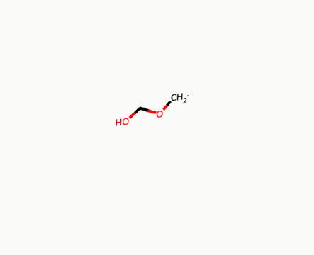 [CH2]OCO